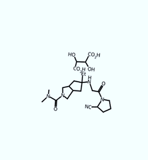 CCC1(NCC(=O)N2CCCC2C#N)CC2CN(C(=O)N(C)C)CC2C1.O=C(O)C(O)C(O)C(=O)O